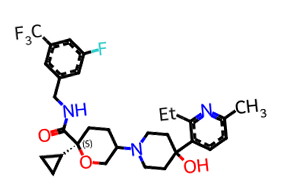 CCc1nc(C)ccc1C1(O)CCN(C2CC[C@@](C(=O)NCc3cc(F)cc(C(F)(F)F)c3)(C3CC3)OC2)CC1